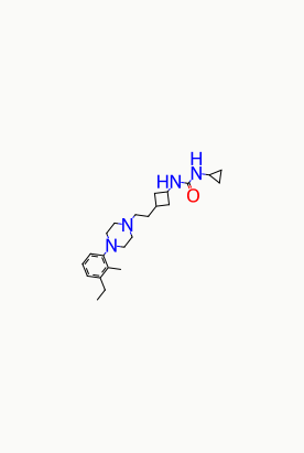 CCc1cccc(N2CCN(CCC3CC(NC(=O)NC4CC4)C3)CC2)c1C